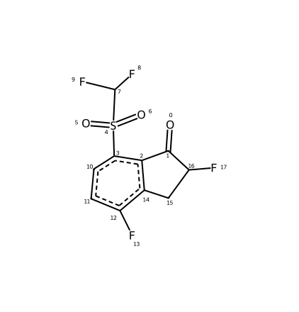 O=C1c2c(S(=O)(=O)C(F)F)ccc(F)c2CC1F